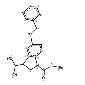 CC(O)C1CN(C(=O)OC(C)(C)C)c2ccc(OCc3ccccc3)cc21